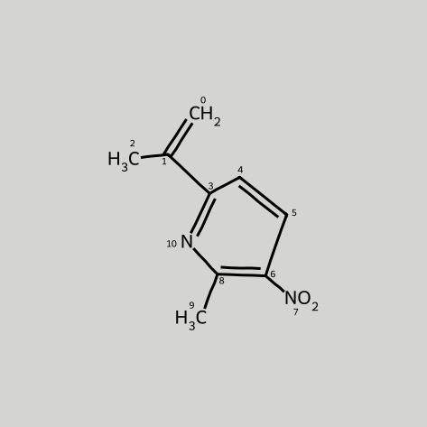 C=C(C)c1ccc([N+](=O)[O-])c(C)n1